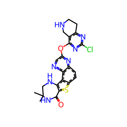 CC1(C)CNc2c(sc3ccc4nc(Oc5nc(Cl)nc6c5CNCC6)cnc4c23)C(=O)N1